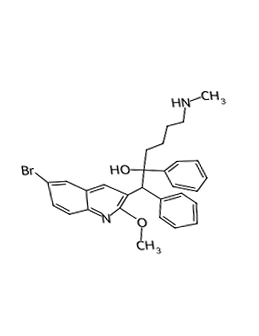 CNCCCCC(O)(c1ccccc1)C(c1ccccc1)c1cc2cc(Br)ccc2nc1OC